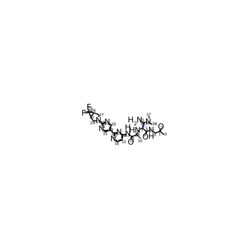 CC(=O)CNC(=O)/C(N[C@@H](C)C(=O)Nc1ccnc(-c2cnc(N3CC4C(C3)C4(F)F)nc2)n1)=C(/N)N(C)C